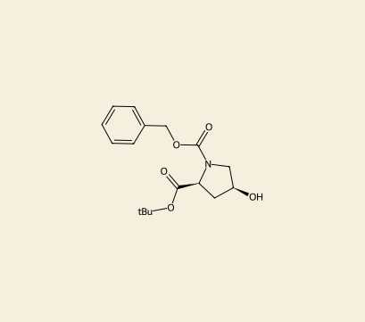 CC(C)(C)OC(=O)[C@@H]1C[C@H](O)CN1C(=O)OCc1ccccc1